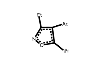 CCc1noc(C(C)C)c1C(C)=O